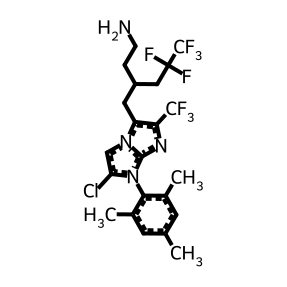 Cc1cc(C)c(-n2c(Cl)cn3c(CC(CCN)CC(F)(F)C(F)(F)F)c(C(F)(F)F)nc23)c(C)c1